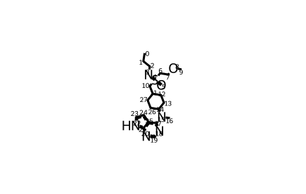 CCCN=S(=O)(CCOC)CC1CCC(N(C)c2ncnc3[nH]ccc23)CC1